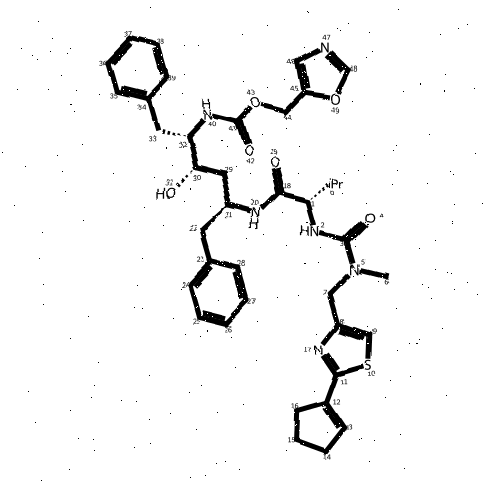 CC(C)[C@H](NC(=O)N(C)Cc1csc(C2=CCCC2)n1)C(=O)N[C@@H](Cc1ccccc1)C[C@H](O)[C@H](Cc1ccccc1)NC(=O)OCc1cnco1